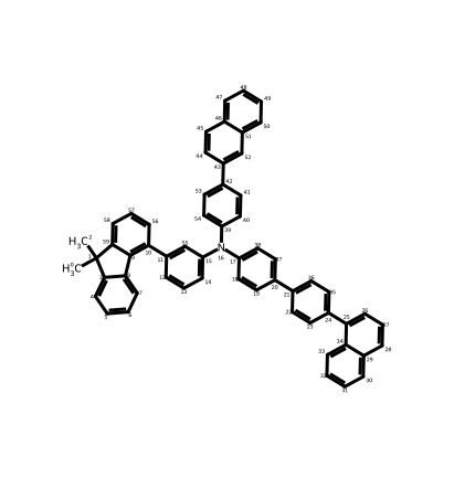 CC1(C)c2ccccc2-c2c(-c3cccc(N(c4ccc(-c5ccc(-c6cccc7ccccc67)cc5)cc4)c4ccc(-c5ccc6ccccc6c5)cc4)c3)cccc21